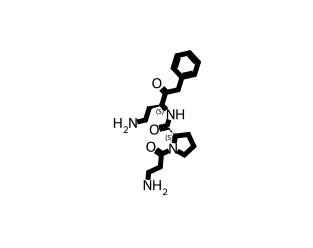 NCCC(=O)N1CCC[C@H]1C(=O)N[C@@H](CCN)C(=O)Cc1ccccc1